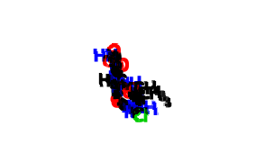 CNC(=O)COc1cc2cc(Nc3nc(N4CCC(OC5CC(N6CCC7(CCCN(c8ccc9c(c8)CN(C8CCC(=O)NC8=O)C9=O)C7)C6)C5)CC4)ncc3Cl)ccc2n(C(C)C)c1=O